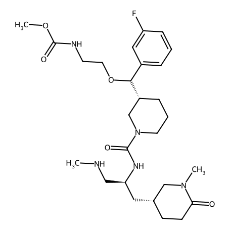 CNC[C@H](C[C@H]1CCC(=O)N(C)C1)NC(=O)N1CCC[C@@H](C(OCCNC(=O)OC)c2cccc(F)c2)C1